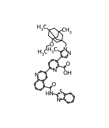 CCOC12CC3(C)CC(C)(CC(Cn4ncc(-c5ccc(-c6cnc7cccc(C(=O)Nc8nc9ccccc9s8)c7c6)nc5C(=O)O)c4C)(C3)C1)C2